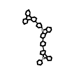 c1ccc(-n2c3ccccc3c3cc(-c4ccc(-c5ccc6c(c5)c5ccccc5n6-c5ccc(-c6ccc7c8ccccc8c8ccccc8c7c6)cc5)cc4)ccc32)cc1